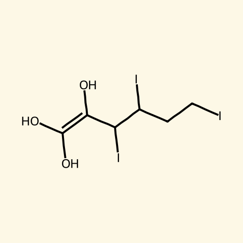 OC(O)=C(O)C(I)C(I)CCI